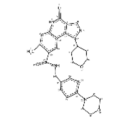 Cc1cc2[nH]c(=O)c3cnn(C4CCOCC4)c3c2cc1C(=O)NCc1ccc(N2CCOCC2)nc1